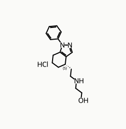 Cl.OCCNCC[C@@H]1CCCc2c1cnn2-c1ccccc1